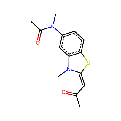 CC(=O)C=C1Sc2ccc(N(C)C(C)=O)cc2N1C